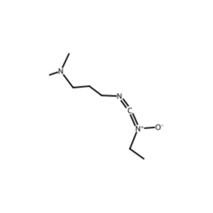 CC[N+]([O-])=C=NCCCN(C)C